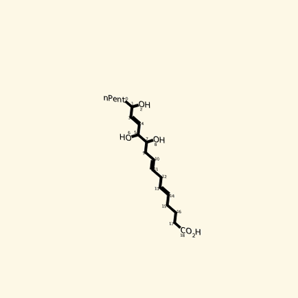 CCCCCC(O)C=CC(O)C(O)CC=CCC=CCCCC(=O)O